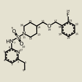 CCc1cccc(NS(=O)(=O)N2CCC(COCc3ccccc3F)CC2)n1